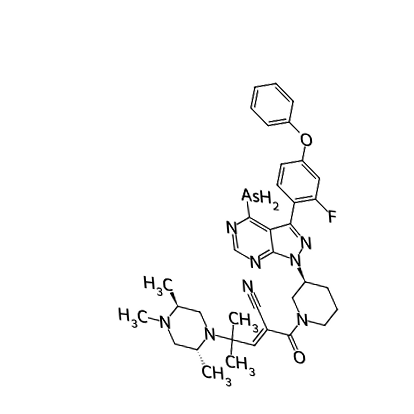 C[C@@H]1CN(C)[C@@H](C)CN1C(C)(C)C=C(C#N)C(=O)N1CCC[C@H](n2nc(-c3ccc(Oc4ccccc4)cc3F)c3c([AsH2])ncnc32)C1